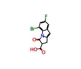 O=C(O)C1Cc2cc3cc(F)cc(Br)c3n2C1=O